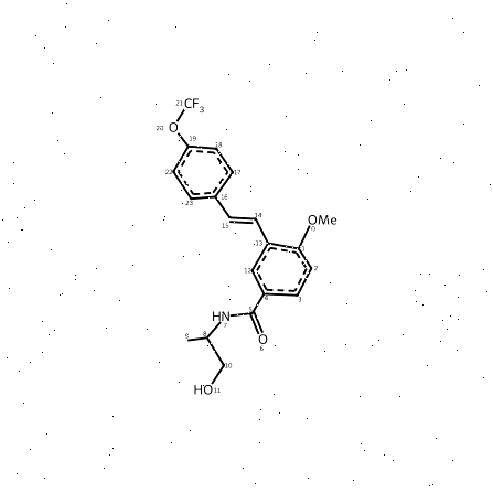 COc1ccc(C(=O)NC(C)CO)cc1C=Cc1ccc(OC(F)(F)F)cc1